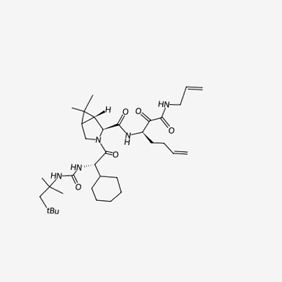 C=CCC[C@@H](NC(=O)[C@@H]1[C@@H]2C(CN1C(=O)[C@@H](NC(=O)NC(C)(C)CC(C)(C)C)C1CCCCC1)C2(C)C)C(=O)C(=O)NCC=C